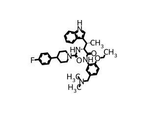 CCOc1ccc(CN(C)C)cc1NC(=O)[C@H](NC(=O)N1CCC(c2ccc(F)cc2)CC1)[C@@H](C)c1c[nH]c2ccccc12